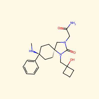 CN[C@]1(c2ccccc2)CC[C@]2(CC1)CN(CC(N)=O)C(=O)N2CC1(O)CCC1